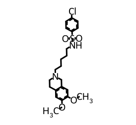 COc1cc2c(cc1OC)CN(CCCCCNS(=O)(=O)c1ccc(Cl)cc1)CC2